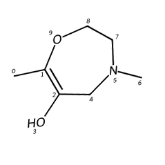 CC1=C(O)CN(C)CCO1